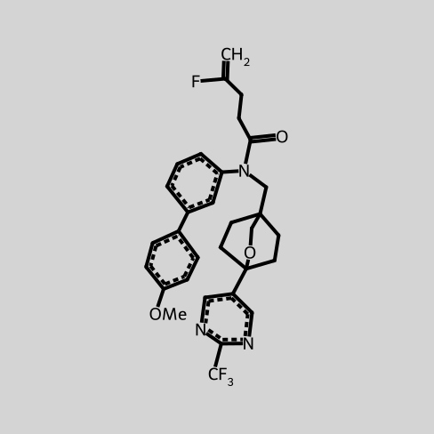 C=C(F)CCC(=O)N(CC12CCC(c3cnc(C(F)(F)F)nc3)(CC1)OC2)c1cccc(-c2ccc(OC)cc2)c1